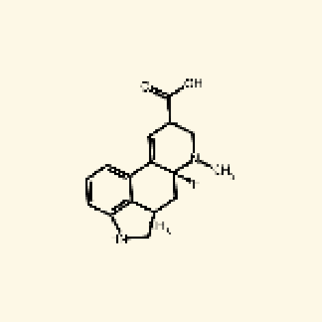 CN1C[C@H](C(=O)O)C=C2c3cccc4c3C(C)(CN4)C[C@H]21